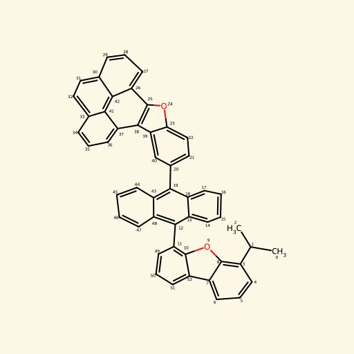 CC(C)c1cccc2c1oc1c(-c3c4ccccc4c(-c4ccc5oc6c7cccc8ccc9cccc(c6c5c4)c9c87)c4ccccc34)cccc12